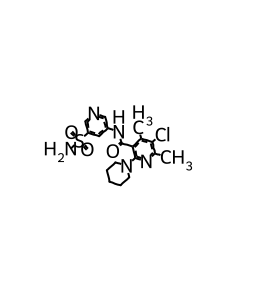 Cc1nc(N2CCCCC2)c(C(=O)Nc2cncc(S(N)(=O)=O)c2)c(C)c1Cl